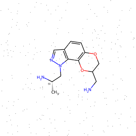 C[C@H](N)Cn1ncc2ccc3c(c21)OC(CN)CO3